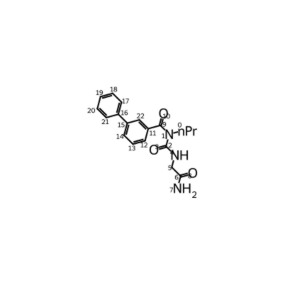 CCCN(C(=O)NCC(N)=O)C(=O)c1cccc(-c2ccccc2)c1